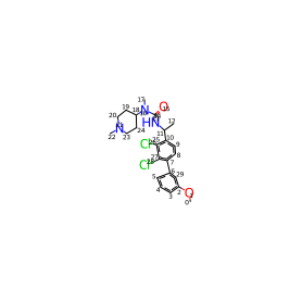 COc1cccc(-c2ccc(C(C)NC(=O)N(C)C3CCN(C)CC3)c(Cl)c2Cl)c1